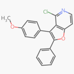 COc1ccc(-c2c(-c3ccccc3)oc3ccnc(Cl)c23)cc1